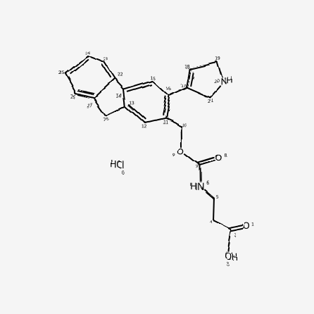 Cl.O=C(O)CCNC(=O)OCc1cc2c(cc1C1=CCNC1)-c1ccccc1C2